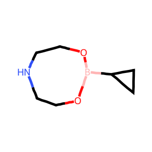 C1COB(C2CC2)OCCN1